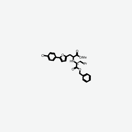 COC(=O)C(Cc1ccc(-c2ccc(Cl)cc2)o1)N[C@@H](CC(C)C)C(=O)OCc1ccccc1